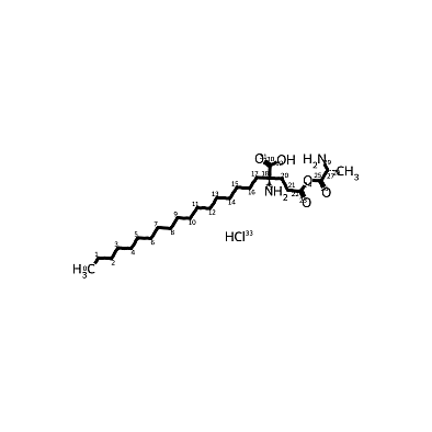 CCCCCCCCCCCCCCCCCC[C@@](N)(CCC(=O)OC(=O)[C@@H](C)N)C(=O)O.Cl